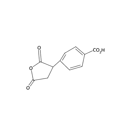 O=C1CC(c2ccc(C(=O)O)cc2)C(=O)O1